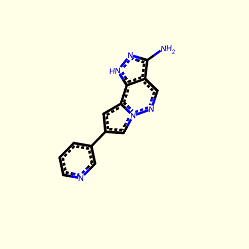 Nc1n[nH]c2c1cnn1cc(-c3cccnc3)cc21